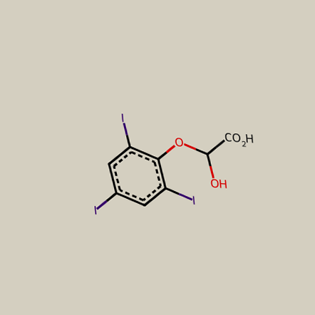 O=C(O)C(O)Oc1c(I)cc(I)cc1I